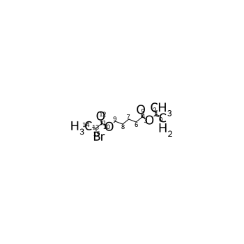 C=C(C)OC(=O)CCCCOC(=O)C(C)Br